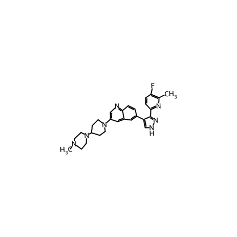 Cc1nc(-c2n[nH]cc2-c2ccc3ncc(N4CCC(N5CCN(C)CC5)CC4)cc3c2)ccc1F